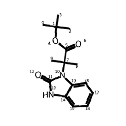 CC(C)(C)OC(=O)C(C)(C)n1c(=O)[nH]c2ccccc21